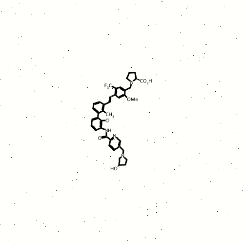 COc1cc(/C=C/c2cccc(-c3cccc(NC(=O)c4ccc(CN5CC[C@@H](O)C5)cn4)c3Cl)c2C)c(C(F)(F)F)cc1CN1CCC[C@H]1C(=O)O